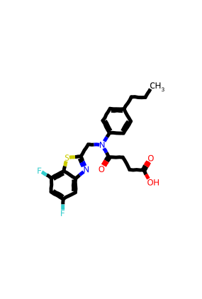 CCCc1ccc(N(Cc2nc3cc(F)cc(F)c3s2)C(=O)CCC(=O)O)cc1